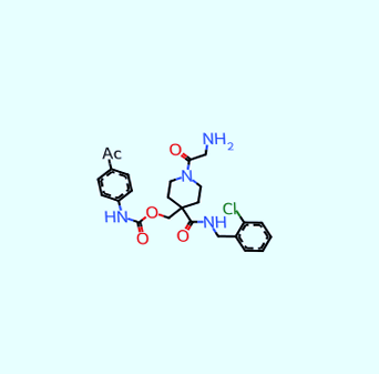 CC(=O)c1ccc(NC(=O)OCC2(C(=O)NCc3ccccc3Cl)CCN(C(=O)CN)CC2)cc1